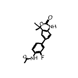 CC(=O)Nc1ccc(-c2ccc3c(c2)C(C)(C)OC(=O)N3)cc1F